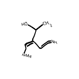 CN/C=C(\C=N)C(C)O